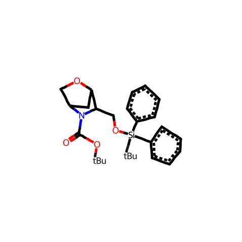 CC(C)(C)OC(=O)N1C2COC(C2)C1CO[Si](c1ccccc1)(c1ccccc1)C(C)(C)C